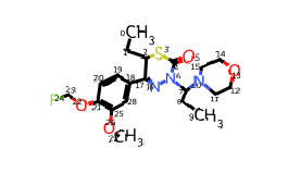 CCC1SC(=O)N(C(CC)N2CCOCC2)N=C1c1ccc(OCF)c(OC)c1